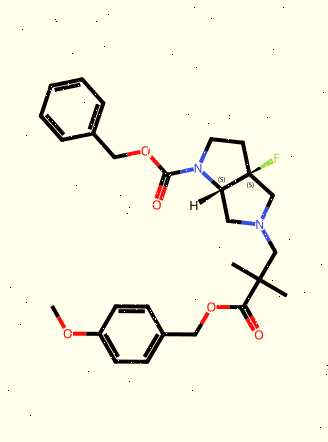 COc1ccc(COC(=O)C(C)(C)CN2C[C@@H]3N(C(=O)OCc4ccccc4)CC[C@]3(F)C2)cc1